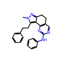 Cn1nc2c(c1CCc1ccccc1)-c1nc(Nc3ccccc3)ncc1CC2